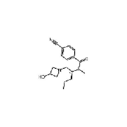 CCC[C@@H](CN1CC(O)C1)N(C)C(=O)c1ccc(C#N)cc1